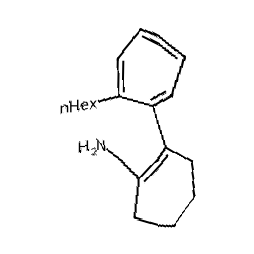 CCCCCCc1ccccc1C1=C(N)CCCC1